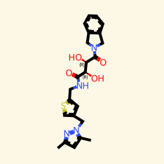 Cc1cc(C)n(Cc2csc(CNC(=O)[C@H](O)[C@@H](O)C(=O)N3Cc4ccccc4C3)c2)n1